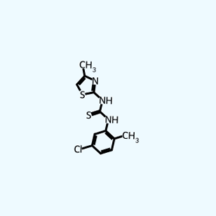 Cc1csc(NC(=S)Nc2cc(Cl)ccc2C)n1